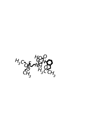 CCOP(=S)(CCN[S+]([O-])CN(C(=O)O)c1cccc2c1OC(C)(C)C2)OCC